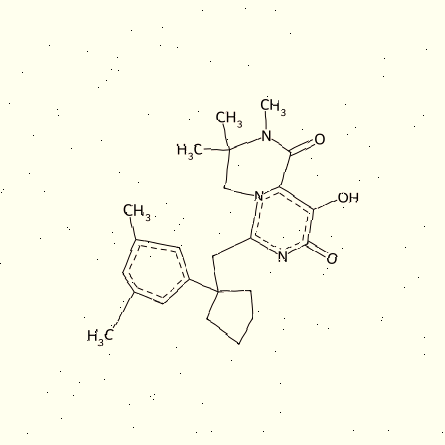 Cc1cc(C)cc(C2(Cc3nc(=O)c(O)c4n3CC(C)(C)N(C)C4=O)CCCC2)c1